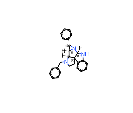 c1ccc(CN2CC[C@]34c5ccccc5N[C@H]3N3[C@@H]([C@H]24)[C@@H]3c2ccccc2)cc1